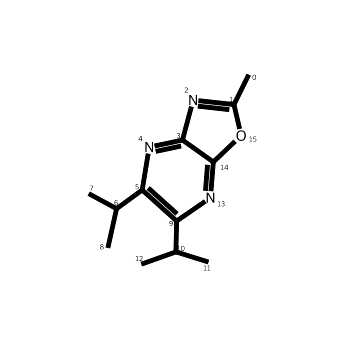 Cc1nc2nc(C(C)C)c(C(C)C)nc2o1